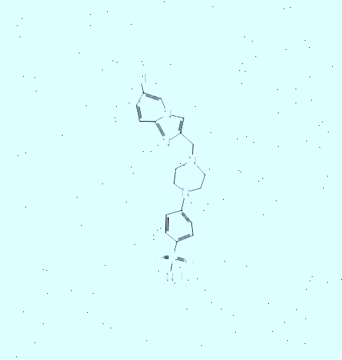 NS(=O)(=O)c1ccc(N2CCN(Cc3cn4cc(Cl)ccc4n3)CC2)cc1